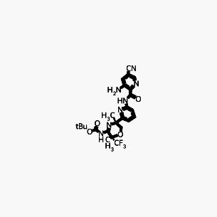 CC(C)(C)OC(=O)NC1=N[C@](C)(c2cccc(NC(=O)c3ncc(C#N)cc3N)n2)CO[C@@]1(C)C(F)(F)F